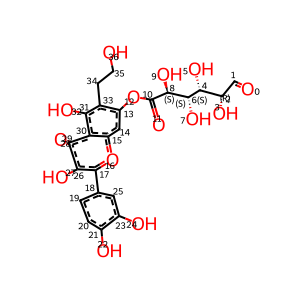 O=C[C@H](O)[C@@H](O)[C@H](O)[C@H](O)C(=O)Oc1cc2oc(-c3ccc(O)c(O)c3)c(O)c(=O)c2c(O)c1CCO